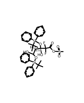 CC(C)(C)[Si](OC(O)[C@@H](O)[C@](O)(O[Si](c1ccccc1)(c1ccccc1)C(C)(C)C)C(F)(F)C(=O)OS(C)(=O)=O)(c1ccccc1)c1ccccc1